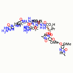 C=C1C[C@H]2C=Nc3cc(OCCCCCOc4cc5c(cc4OC)C(=O)N4CC(=C)C[C@H]4[C@H](O)N5C(=O)OC[C@@H](SSC[C@H](NC(=O)[C@H](CC(=O)O)NC(=O)[C@H](CC(=O)O)NC(=O)[C@H](CCCNC(=N)N)NC(=O)[C@H](CC(=O)O)NC(=O)CC[C@H](NC(=O)c4ccc(NCc5cnc6nc(N)[nH]c(=O)c6n5)cc4)C(=O)O)C(=O)O)C(C)C)c(OC)cc3C(=O)N2C1